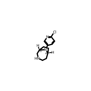 Clc1ccc(N2[C@H]3CCNC[C@@H]2CC3)cn1